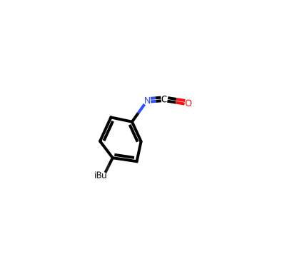 CCC(C)c1ccc(N=C=O)cc1